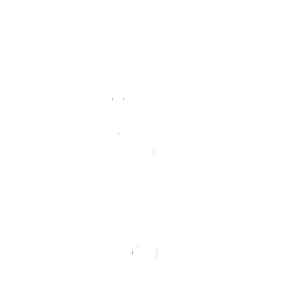 CC1CCC(C(C)C)C(OC(=O)c2ccccc2C(=O)O)C1